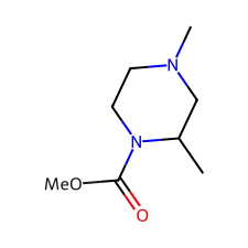 COC(=O)N1CCN(C)CC1C